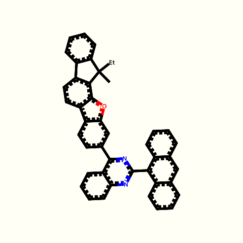 CCC1(C)c2ccccc2-c2ccc3c(oc4cc(-c5nc(-c6c7ccccc7cc7ccccc67)nc6ccccc56)ccc43)c21